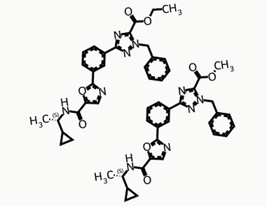 CCOC(=O)c1nc(-c2cccc(-c3ncc(C(=O)N[C@@H](C)C4CC4)o3)c2)nn1Cc1ccccc1.COC(=O)c1nc(-c2cccc(-c3ncc(C(=O)N[C@@H](C)C4CC4)o3)c2)nn1Cc1ccccc1